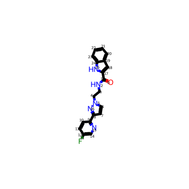 O=C(NCCn1ccc(-c2ccc(F)cn2)n1)c1cc2ccccc2[nH]1